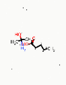 CC(C)(N)O.CCCCC(=O)O